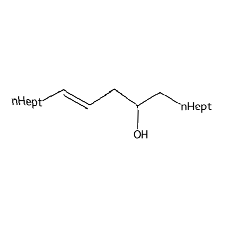 [CH2]CCCCCCC=CCC(O)CCCCCCCC